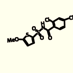 COc1ccc(S(=O)(=O)NC(=O)c2ccc(Cl)cc2Cl)s1